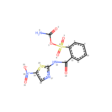 NC(=O)OS(=O)(=O)c1ccccc1C(=O)Nc1ncc([N+](=O)[O-])s1